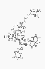 CCOC(=O)C(N)CCCCNC(=O)C[C@H](O)[C@H](CC(C)C)NC(=O)[C@H](Cc1c[nH]cn1)NC(=O)[C@H](Cc1cccc2ccccc12)NC(=O)OCc1ccccc1